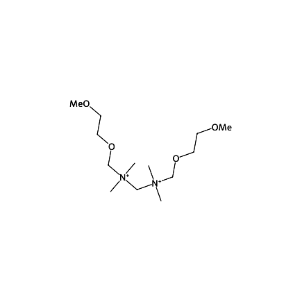 COCCOC[N+](C)(C)C[N+](C)(C)COCCOC